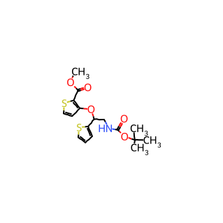 COC(=O)c1sccc1OC(CNC(=O)OC(C)(C)C)c1cccs1